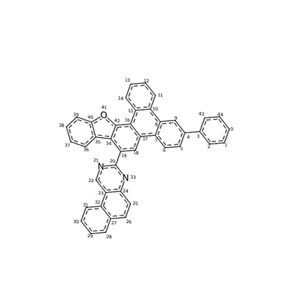 c1ccc(-c2ccc3c(c2)c2ccccc2c2c3cc(-c3ncc4c(ccc5ccccc54)n3)c3c4ccccc4oc32)cc1